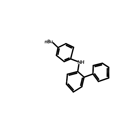 CCCCc1ccc(Nc2ccccc2-c2ccccc2)cc1